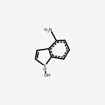 Nc1cccc2c1C=C[SH]2O